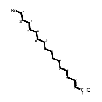 O=C/C=C/CCCCCCCCCCCCCCBr